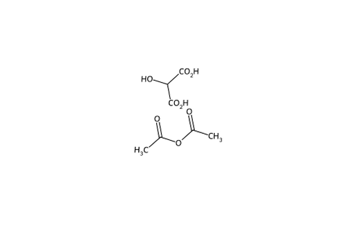 CC(=O)OC(C)=O.O=C(O)C(O)C(=O)O